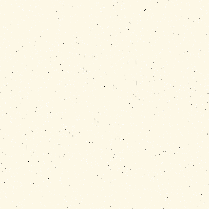 C=CC(=O)N1CCN2C(=O)c3c(N4CC(N(C)C5COC5)CC4(C)C)nc(-c4ccccc4F)c(Cl)c3OCC2C1